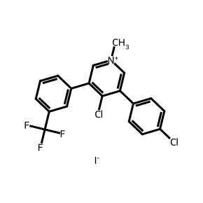 C[n+]1cc(-c2ccc(Cl)cc2)c(Cl)c(-c2cccc(C(F)(F)F)c2)c1.[I-]